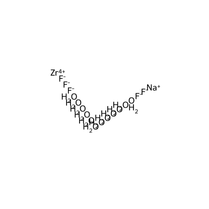 O.O.O.O.O.O.O.O.O.O.O.O.[F-].[F-].[F-].[F-].[F-].[Na+].[Zr+4]